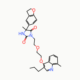 CCCc1cnc2c(C)cccc2c1OCCOCCN1C(=O)NC(C)(c2ccc3c(c2)CCO3)C1=O